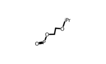 CC(C)OCCOP=O